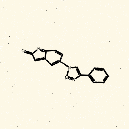 O=C1C=c2cc(-n3cc(-c4ccccc4)nn3)ccc2=N1